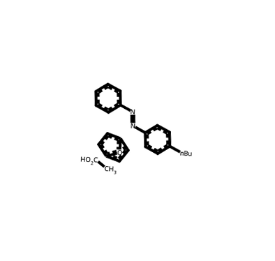 CC(=O)O.CCCCc1ccc(N=Nc2ccccc2)cc1.c1cc2ccc1o2